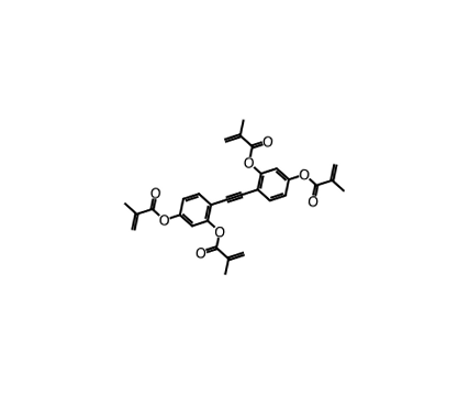 C=C(C)C(=O)Oc1ccc(C#Cc2ccc(OC(=O)C(=C)C)cc2OC(=O)C(=C)C)c(OC(=O)C(=C)C)c1